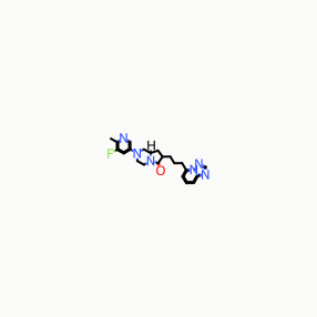 Cc1ncc(N2CCN3C(=O)C(CCCc4cccc5ncnn45)C[C@H]3C2)cc1F